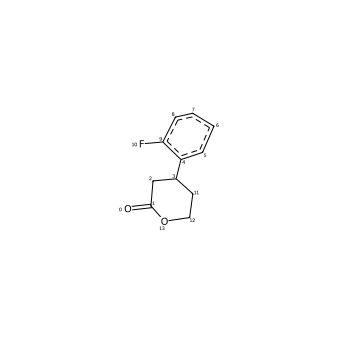 O=C1CC(c2ccccc2F)CCO1